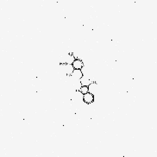 COc1c(C)cnc(CSc2[nH]c3ccccc3c2C)c1C